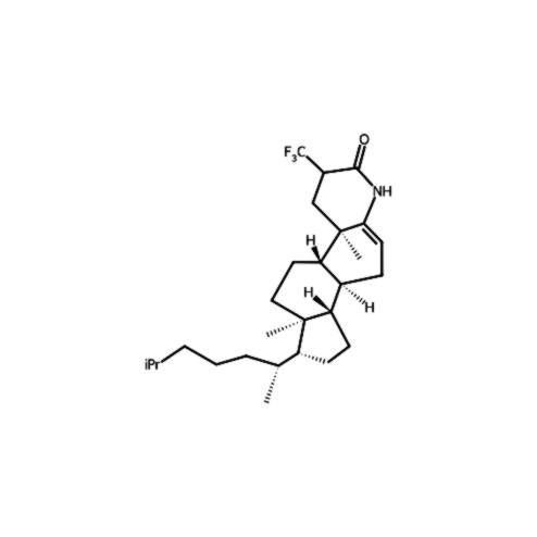 CC(C)CCC[C@@H](C)[C@H]1CC[C@H]2[C@@H]3CC=C4NC(=O)C(C(F)(F)F)C[C@]4(C)[C@H]3CC[C@]12C